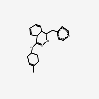 CC1=CCC(NC2=NNC(Cc3ccncc3)C3C=CC=CC23)CC1